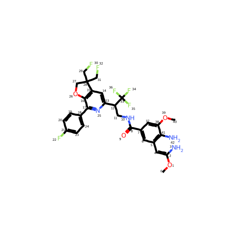 CO/C(N)=C/c1cc(C(=O)NCC(c2cc3c(c(-c4ccc(F)cc4)n2)OCC3(CF)CF)C(F)(F)F)cc(OC)c1N